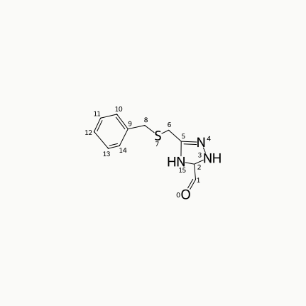 O=CC1NN=C(CSCc2ccccc2)N1